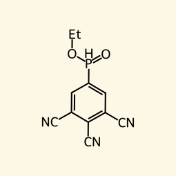 CCO[PH](=O)c1cc(C#N)c(C#N)c(C#N)c1